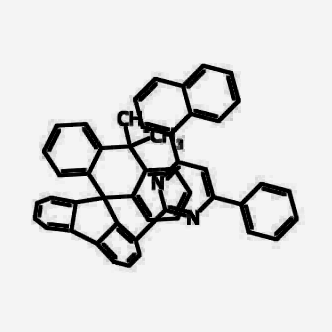 CC1(C)c2ccccc2C2(c3ccccc3-c3cccc(-c4nc(-c5ccccc5)cc(-c5cccc6ccccc56)n4)c32)c2ccccc21